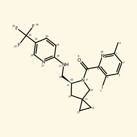 Cc1ccc(I)c(C(=O)N2CC3(CC3)C[C@H]2CNc2ccc(C(F)(F)F)cn2)n1